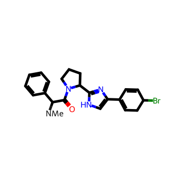 CNC(C(=O)N1CCCC1c1nc(C2=CCC(Br)C=C2)c[nH]1)c1ccccc1